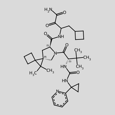 CC(C)(C)[C@H](NC(=O)NC1(c2ccccn2)CC1)C(=O)N1C[C@]2(C[C@H]1C(=O)NC(CC1CCC1)C(=O)C(N)=O)C(C)(C)C21CCC1